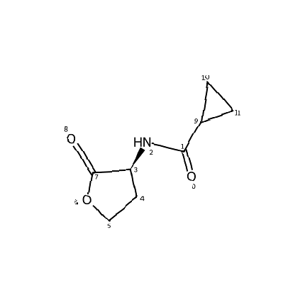 O=C(N[C@H]1CCOC1=O)C1CC1